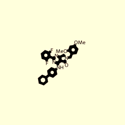 COc1ccc(CN2Cc3nc(-c4c(F)cccc4F)nc(Nc4ccc(C5CCCCC5)cc4)c3C2=O)c(OC)c1